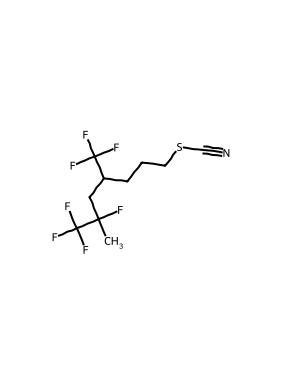 CC(F)(CC(CCCSC#N)C(F)(F)F)C(F)(F)F